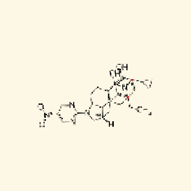 CCc1ccc(O)cc1C12CCN(CC3CC3)C(C)C13CCC1C2[C@@H](CN1c1ncc([N+](=O)[O-])cn1)C3